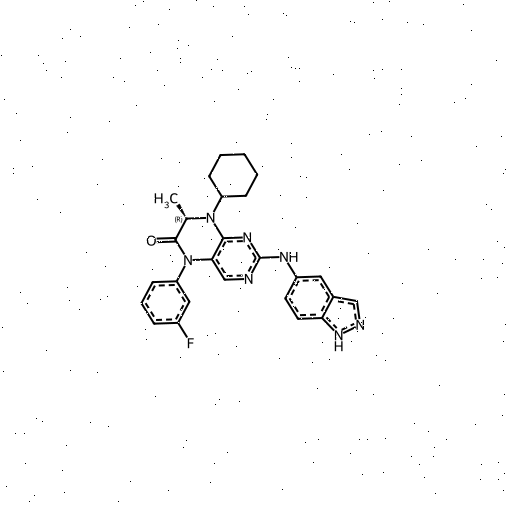 C[C@@H]1C(=O)N(c2cccc(F)c2)c2cnc(Nc3ccc4[nH]ncc4c3)nc2N1C1CCCCC1